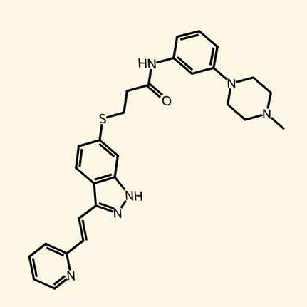 CN1CCN(c2cccc(NC(=O)CCSc3ccc4c(C=Cc5ccccn5)n[nH]c4c3)c2)CC1